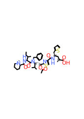 CCC(C)C(NC(=O)C1CCCCN1C)C(=O)N(Cc1ccccc1)[C@H](C[C@@H](OC(C)=O)c1nc(C(=O)N[C@@H](Cc2cccs2)C[C@H](C)C(=O)O)cs1)C(C)C